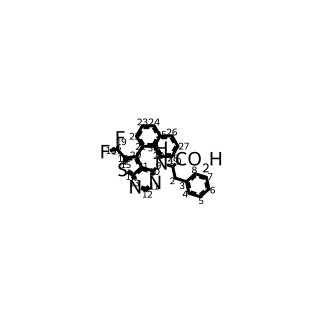 O=C(O)C(Cc1ccccc1)Nc1ncnc2sc(C(F)F)c(-c3cccc4ccccc34)c12